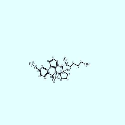 CC(=O)N(CCCCO)[C@H]1c2ccccc2N(C(=O)c2ccc(OC(F)(F)F)cc2)[C@@H]2CCC[C@@H]21